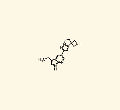 CCc1c[nH]c2ncc(-c3cc4n(n3)CCC43CNC3)cc12